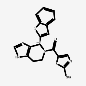 CC(C)(C)c1ncc(C(=O)N2CCc3[nH]cnc3[C@H]2c2cc3ccccc3o2)s1